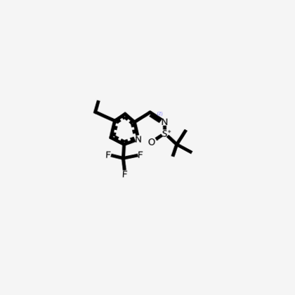 CCc1cc(/C=N\[S+]([O-])C(C)(C)C)nc(C(F)(F)F)c1